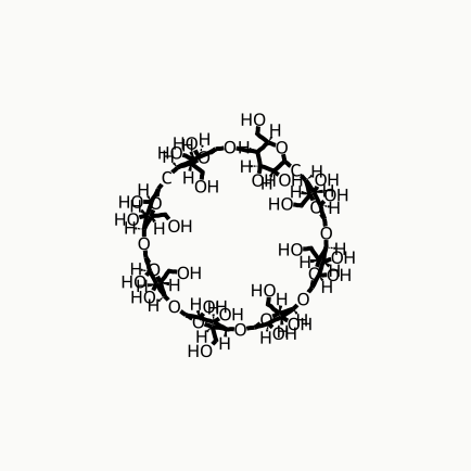 OC[C@H]1OC2O[C@H]3[C@H](O)[C@@H](O)C(C[C@H]4[C@H](O)[C@@H](O)C(O[C@H]5[C@H](O)[C@@H](O)C(O[C@H]6[C@H](O)[C@@H](O)C(O[C@H]7[C@H](O)[C@@H](O)C(O[C@H]8[C@H](O)[C@@H](O)C(O[C@H]9[C@H](O)[C@@H](O)C(C[C@H]1[C@H](O)[C@H]2O)O[C@@H]9CO)O[C@@H]8CO)O[C@@H]7CO)O[C@@H]6CO)O[C@@H]5CO)O[C@@H]4CO)O[C@@H]3CO